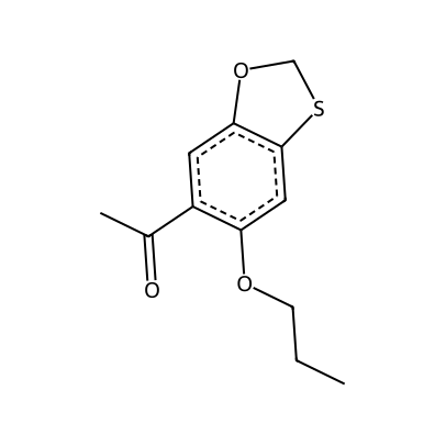 CCCOc1cc2c(cc1C(C)=O)OCS2